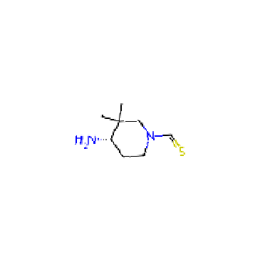 CC1(C)CN(C=S)CC[C@@H]1N